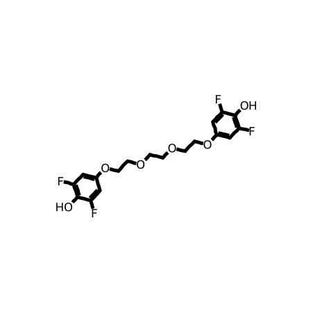 Oc1c(F)cc(OCCOCCOCCOc2cc(F)c(O)c(F)c2)cc1F